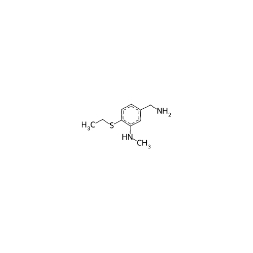 CCSc1ccc(CN)cc1NC